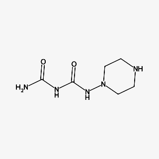 NC(=O)NC(=O)NN1CCNCC1